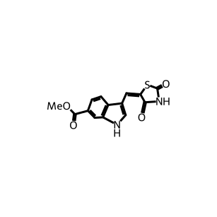 COC(=O)c1ccc2c(C=C3SC(=O)NC3=O)c[nH]c2c1